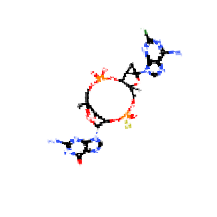 Nc1nc2c(ncn2[C@@H]2O[C@@H]3COP(=O)(O)OC4C5CC5(n5cnc6c(N)nc(Cl)nc65)O[C@@H]4CO[P@@](=O)(S)OC2C3O)c(=O)[nH]1